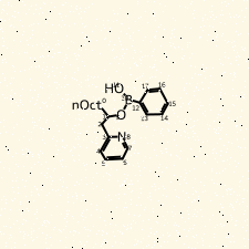 CCCCCCCCC(Cc1ccccn1)OB(O)c1ccccc1